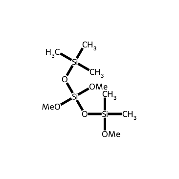 CO[Si](C)(C)O[Si](OC)(OC)O[Si](C)(C)C